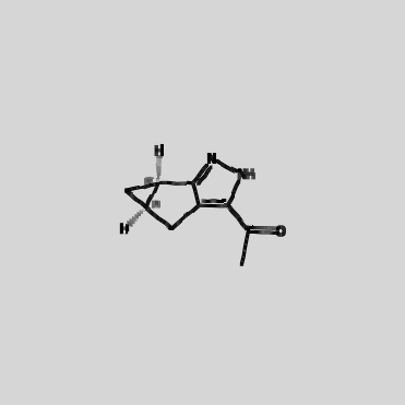 CC(=O)c1[nH]nc2c1C[C@H]1C[C@@H]21